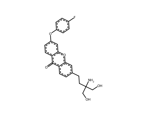 NC(CO)(CO)CCc1ccc2c(=O)c3ccc(Oc4ccc(F)cc4)cc3oc2c1